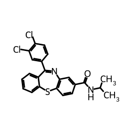 CC(C)NC(=O)c1ccc2c(c1)N=C(c1ccc(Cl)c(Cl)c1)c1ccccc1S2